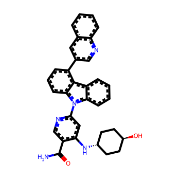 NC(=O)c1cnc(-n2c3ccccc3c3c(-c4cnc5ccccc5c4)cccc32)cc1N[C@H]1CC[C@H](O)CC1